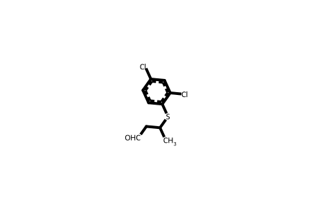 CC(CC=O)Sc1ccc(Cl)cc1Cl